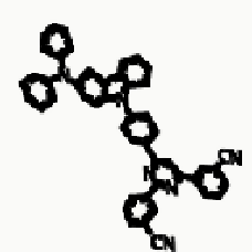 N#Cc1cccc(-c2cc(-c3ccc(-n4c5ccccc5c5cc(N(c6ccccc6)c6ccccc6)ccc54)cc3)nc(-c3cccc(C#N)c3)n2)c1